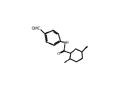 CC1CCC(C)C(C(=O)Nc2ccc(C=O)cc2)C1